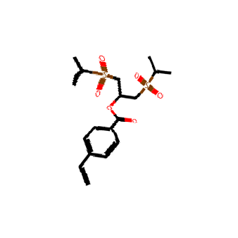 C=Cc1ccc(C(=O)OC(CS(=O)(=O)C(C)C)CS(=O)(=O)C(C)C)cc1